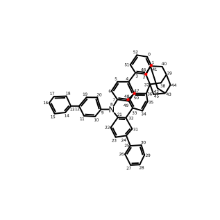 c1ccc(-c2ccc(N(c3ccc(-c4ccccc4)cc3)c3ccc(-c4ccccc4)cc3-c3ccc(C45CC6CC(CC(C6)C4)C5)cc3)cc2)cc1